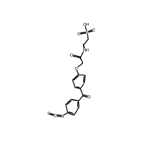 O=C(COc1ccc(C(=O)c2ccc(N=C=S)cc2)cc1)NCCS(=O)(=O)O